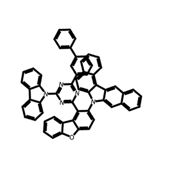 c1ccc(-c2cccc(-c3nc(-c4c(-n5c6cc7ccccc7cc6c6c7ccccc7ccc65)ccc5oc6ccccc6c45)nc(-n4c5ccccc5c5ccccc54)n3)c2)cc1